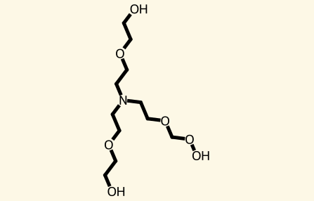 OCCOCCN(CCOCCO)CCOCOO